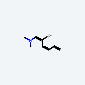 C=C/C=C\C(=C/N(C)C)C(C)C